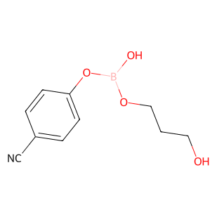 N#Cc1ccc(OB(O)OCCCO)cc1